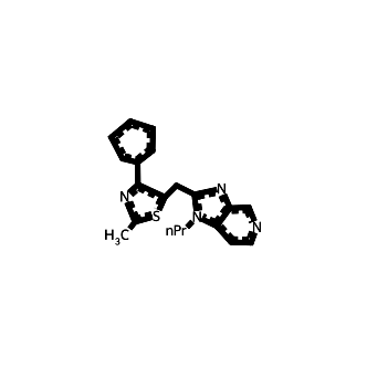 CCCn1c(Cc2sc(C)nc2-c2ccccc2)nc2cnccc21